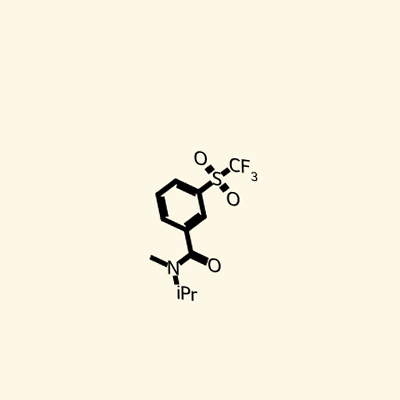 CC(C)N(C)C(=O)c1cccc(S(=O)(=O)C(F)(F)F)c1